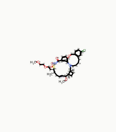 COCCOCC[C@@H]1[C@@H](C)C/C=C/[C@H](OC)[C@@H]2CC[C@H]2CN2CCCCc3cc(Cl)ccc3COc3ccc(cc32)C(=O)NS1(=O)=O